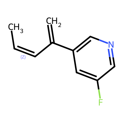 C=C(/C=C\C)c1cncc(F)c1